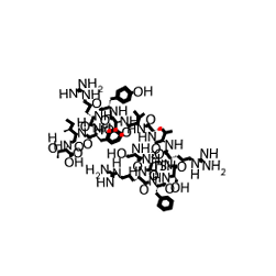 CC[C@H](C)[C@H](NC(=O)[C@H](Cc1ccccc1)NC(=O)[C@H](CCCNC(=N)N)NC(=O)[C@H](Cc1ccc(O)cc1)NC(=O)[C@@H](NC(=O)[C@@H](NC(=O)[C@H](C)NC(=O)[C@@H](NC(=O)[C@H](CCCNC(=N)N)NC(=O)[C@H](CO)NC(=O)[C@H](Cc1ccccc1)NC(=O)[C@H](CCCNC(=N)N)NC(=O)[C@H](CS)NC(=O)[C@@H](N)CO)C(C)C)C(C)C)[C@@H](C)O)C(=O)N[C@H](C(=O)O)[C@@H](C)O